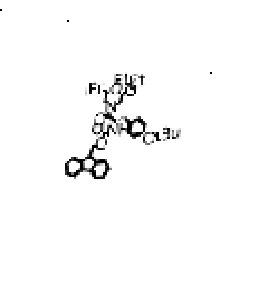 CCOC(CN(CCC(C)C)C(=O)[C@H](Cc1ccc(OC(C)(C)C)cc1)NC(=O)OCC1c2ccccc2-c2ccccc21)OCC